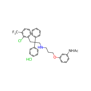 CC(=O)Nc1cccc(OCCCNCC(Cc2cccc(C(F)(F)F)c2Cl)(c2ccccc2)c2ccccc2)c1.Cl